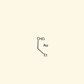 CCCC=O.[Au]